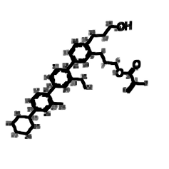 C=C(C)C(=O)OCCCc1cc(-c2ccc(-c3ccc(C4CCCCC4)cc3C)cc2CC)ccc1CCCO